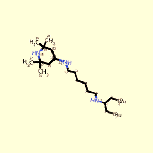 CC(C)(C)CC(CC(C)(C)C)NCCCCCCNC1CC(C)(C)NC(C)(C)C1